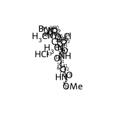 COCCNC(=O)c1ccc(/C=C/C(=O)NCC(=O)N(C)c2ccc(Cl)c(COc3cccn4c(Br)c(C)nc34)c2Cl)cc1.Cl